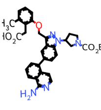 CCOC(=O)N1CCC(n2nc(COc3cccc(C)c3CC(=O)O)c3cc(-c4cccc5c(N)nccc45)ccc32)C1